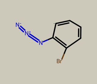 [N-]=[N+]=Nc1[c]cccc1Br